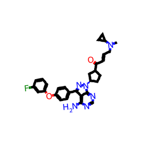 CN(C/C=C/C(=O)C1CC[C@@H](n2nc(-c3ccc(Oc4cccc(F)c4)cc3)c3c(N)ncnc32)C1)C1CC1